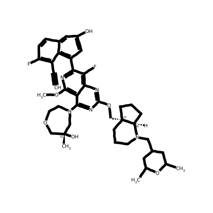 C#Cc1c(F)ccc2cc(O)cc(-c3nc(OC)c4c(N5CCOC[C@@](C)(O)C5)nc(OC[C@]56CCC[C@H]5N(CC5CC(C)OC(C)C5)CCC6)nc4c3F)c12